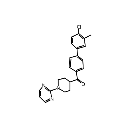 Cc1cc(-c2ccc(C(=O)C3CCN(c4ncccn4)CC3)cc2)ccc1Cl